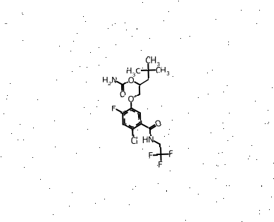 CC(C)(C)CC(COc1cc(C(=O)NCC(F)(F)F)c(Cl)cc1F)OC(N)=O